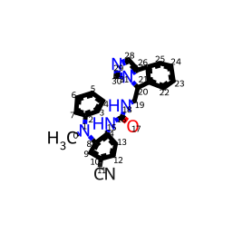 CN(c1ccccc1)c1cc(C#N)ccc1NC(=O)NCC1c2ccccc2-c2cncn21